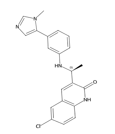 C[C@H](Nc1cccc(-c2cncn2C)c1)c1cc2cc(Cl)ccc2[nH]c1=O